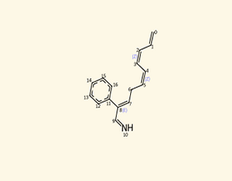 C=C/C=C\C=C/C/C=C(/C=N)c1ccccc1